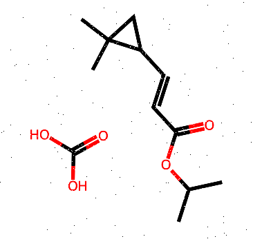 CC(C)OC(=O)C=CC1CC1(C)C.O=C(O)O